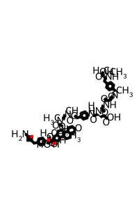 C/C(=N/OCC(=O)NCC(=O)N[C@@H](CCC(=O)O)C(=O)Nc1ccc(COC(=O)N(C)CCN(C)C(=O)O[C@H]2C[C@@]3(C)[C@@H](C[C@H]4O[C@@H](c5ccc(CC67CC(N)(C6)C7)cc5)O[C@]43C(=O)CO)[C@@H]3CCC4=CC(=O)C=C[C@]4(C)[C@H]32)cc1)c1ccc(CC(NC(C)C)C(=O)O)cc1